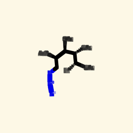 CC[C@@H](OC(C)=O)[C@@H](OC(C)=O)[C@H](OC(C)=O)[C@@H](CN=[N+]=[N-])OC(C)=O